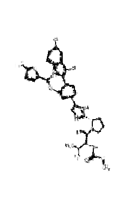 COC(=O)N[C@H](C(=O)N1CCC[C@H]1c1ncc(-c2ccc3c(c2)OC(c2ccc(C)o2)n2c-3c(Cl)c3cc(Cl)ccc32)[nH]1)C(C)C